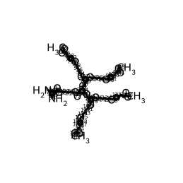 COC(=O)/C=C/c1ccc(OCCCCCCOc2cc(COc3cc(OCc4cc(OCCCCCCOc5ccc(/C=C/C(=O)OC)cc5)cc(OCCCCCCOc5ccc(/C=C/C(=O)OC)cc5)c4)cc(C(=O)OCCCCCCOC(=O)c4cc(N)cc(N)c4)c3)cc(OCCCCCCOc3ccc(/C=C/C(=O)OC)cc3)c2)cc1